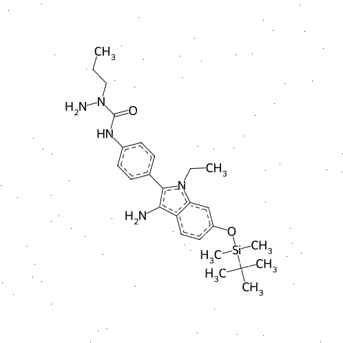 CCCN(N)C(=O)Nc1ccc(-c2c(N)c3ccc(O[Si](C)(C)C(C)(C)C)cc3n2CC)cc1